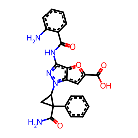 NC(=O)C1(c2ccccc2)CC1n1nc(NC(=O)c2ccccc2N)c2oc(C(=O)O)cc21